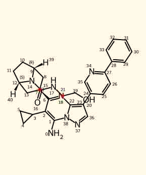 Nc1c(C2CC2)c([C@@H]2C[C@H]3CC[C@@H](C2)N3C(=O)NCCO)nc2c(-c3ccc(-c4ccccc4)nc3)cnn12